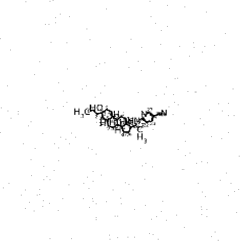 CCC[C@@]1(O)CC[C@H]2[C@H](CC[C@@H]3[C@@H]2CC[C@]2(C)C([C@@H](C)Nc4ccc(C#N)cn4)CC[C@@H]32)C1